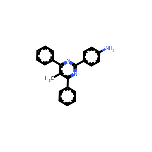 Cc1c(-c2ccccc2)nc(-c2ccc(N)cc2)nc1-c1ccccc1